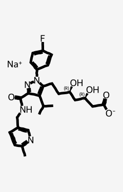 Cc1ccc(CNC(=O)c2nn(-c3ccc(F)cc3)c(CC[C@@H](O)C[C@@H](O)CC(=O)[O-])c2C(C)C)cn1.[Na+]